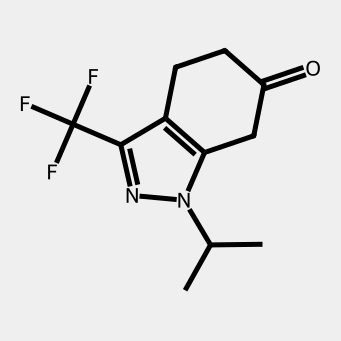 CC(C)n1nc(C(F)(F)F)c2c1CC(=O)CC2